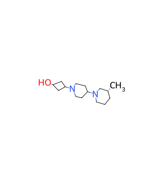 C[C@@H]1CCCN(C2CCN(C3CC(O)C3)CC2)C1